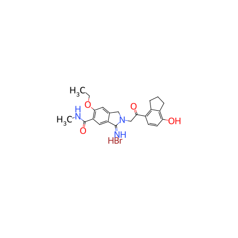 Br.CCOc1cc2c(cc1C(=O)NC)C(=N)N(CC(=O)c1ccc(O)c3c1CCC3)C2